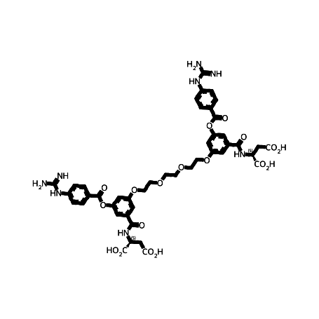 N=C(N)Nc1ccc(C(=O)Oc2cc(OCCOCCOCCOc3cc(OC(=O)c4ccc(NC(=N)N)cc4)cc(C(=O)N[C@@H](CC(=O)O)C(=O)O)c3)cc(C(=O)N[C@@H](CC(=O)O)C(=O)O)c2)cc1